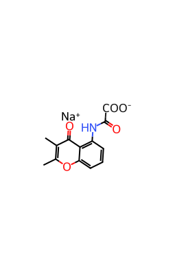 Cc1oc2cccc(NC(=O)C(=O)[O-])c2c(=O)c1C.[Na+]